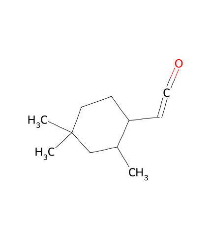 CC1CC(C)(C)CCC1C=C=O